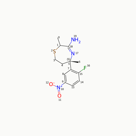 CC1SCC[C@@](C)(c2cc([N+](=O)[O-])ccc2F)N=C1N